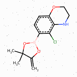 C=C1OB(c2ccc3c(c2Cl)NCCO3)OC1(C)C